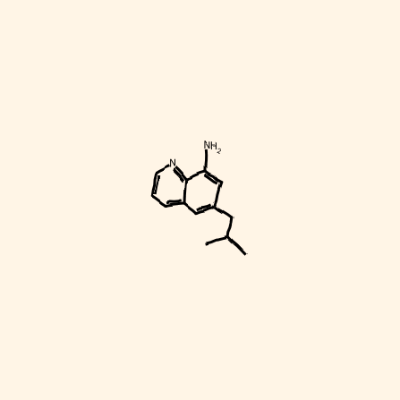 CC(C)Cc1cc(N)c2ncccc2c1